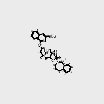 CCCCc1cc2ccccc2c(OCC[N+](C)(C)CC2OC(N)(N3CCCc4ccccc4C3)NC2N)n1